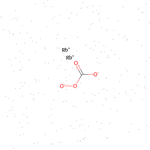 O=C([O-])O[O-].[Rb+].[Rb+]